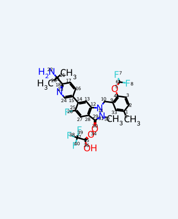 Cc1ccc(OC(F)F)c(Cn2c3cc(-c4ccc(C(C)(C)N)nc4)c(F)cc3c(=O)n2C)c1.O=C(O)C(F)(F)F